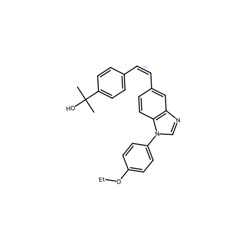 CCOc1ccc(-n2cnc3cc(/C=C\c4ccc(C(C)(C)O)cc4)ccc32)cc1